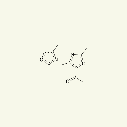 CC(=O)c1oc(C)nc1C.Cc1coc(C)n1